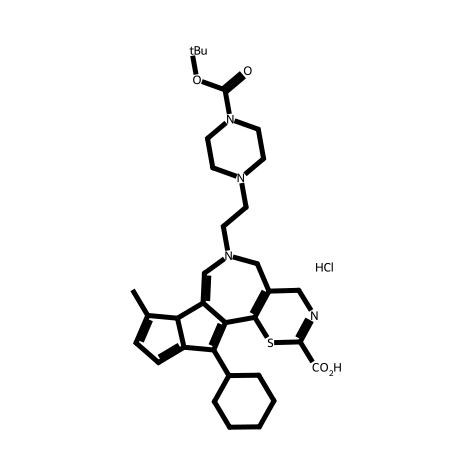 CC1=CC=C2C(C3CCCCC3)=C3C(=CN(CCN4CCN(C(=O)OC(C)(C)C)CC4)CC4=C3SC(C(=O)O)=NC4)C12.Cl